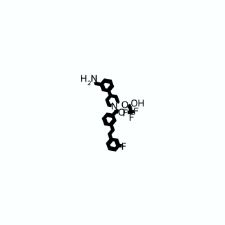 NCc1cccc(C2CCN(C(=O)c3cccc(CCc4cccc(F)c4)c3)CC2)c1.O=C(O)C(F)(F)F